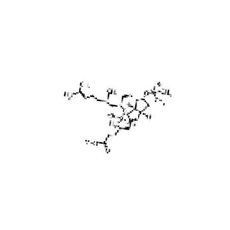 COC(=O)CCC=CC1=C[C@H]2C[C@@H](O[Si](C)(C)C(C)(C)C)[C@@H](/C=C\[C@H](C[C@H](C)CCC=C(C)C)O[Si](C)(C)C(C)(C)C)[C@H]2C1